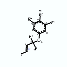 C/C=C/C(F)(F)Oc1cc(I)c(Br)c(I)c1